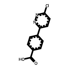 O=C(O)c1ccc(-c2ccc(Cl)nn2)cc1